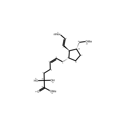 CCCCCC/C=C/[C@@H]1[C@@H](C/C=C\CCC(O)(O)C(=O)OC)CC[C@H]1COC